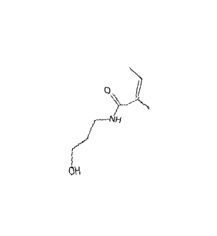 CC=C(C)C(=O)NCCCO